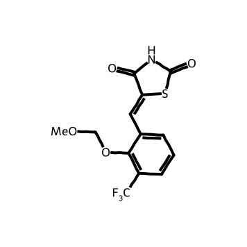 COCOc1c(/C=C2\SC(=O)NC2=O)cccc1C(F)(F)F